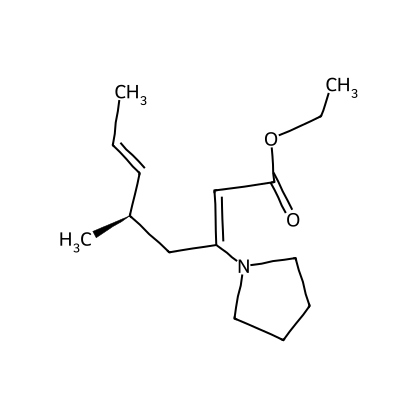 C/C=C/[C@H](C)C/C(=C/C(=O)OCC)N1CCCC1